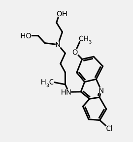 COc1ccc2nc3cc(Cl)ccc3c(NC(C)CCCN(CCO)CCO)c2c1